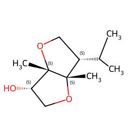 CC(C)[C@H]1CO[C@@]2(C)[C@@H](O)CO[C@@]12C